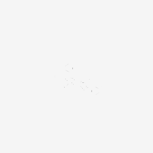 O=c1n(Cc2nc(C(F)(F)F)n(-c3cccc(F)c3)n2)nc(-c2ccc(Cl)cc2)n1C[C@H](O)C(F)(F)F